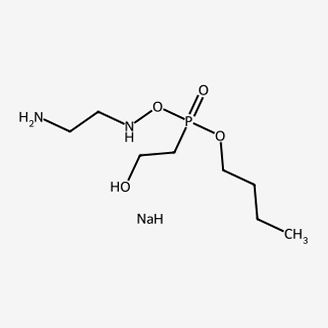 CCCCOP(=O)(CCO)ONCCN.[NaH]